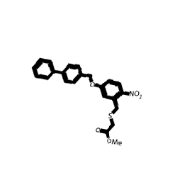 COC(=O)CSCc1cc(OCc2ccc(-c3ccccc3)cc2)ccc1[N+](=O)[O-]